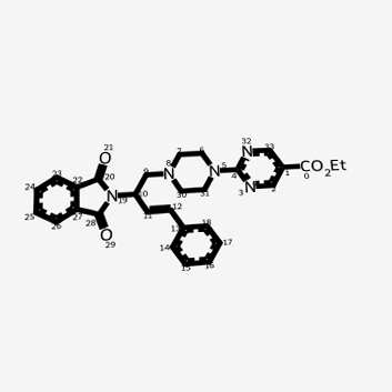 CCOC(=O)c1cnc(N2CCN(CC(/C=C/c3ccccc3)N3C(=O)c4ccccc4C3=O)CC2)nc1